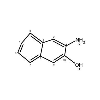 Nc1cc2ccccc2cc1O